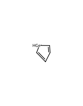 C1=[CH][GeH-][CH]=C1